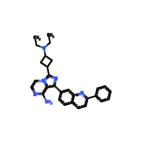 CCN(CC)C1CC(c2nc(-c3ccc4ccc(-c5ccccc5)nc4c3)c3c(N)nccn23)C1